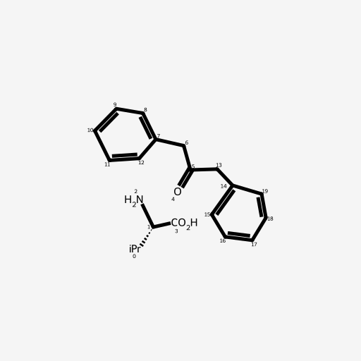 CC(C)[C@H](N)C(=O)O.O=C(Cc1ccccc1)Cc1ccccc1